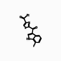 CCC(=O)c1csc(C(=O)c2c[nH]c3c(F)cccc23)n1